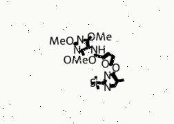 COc1nc(OC)c(NC(=O)c2ccc(Oc3nc([Si](C)(C)C)ncc3C)o2)c(OC)n1